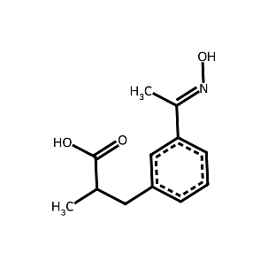 C/C(=N\O)c1cccc(CC(C)C(=O)O)c1